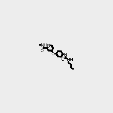 CCCCNc1nc2ccc(Oc3ccnc(C(=O)NC)c3)cc2o1